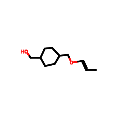 CC=COCC1CCC(CO)CC1